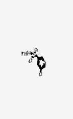 CCCCS(=O)(=O)c1cncc(Cl)c1